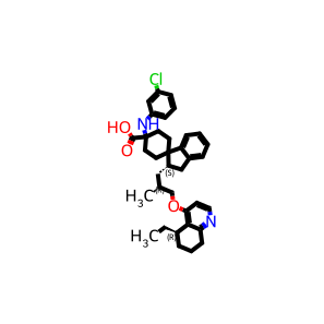 CC[C@@H]1CCCc2nccc(OC[C@H](C)C[C@H]3Cc4ccccc4C34CCC(Nc3cccc(Cl)c3)(C(=O)O)CC4)c21